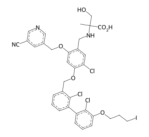 CC(CO)(NCc1cc(Cl)c(OCc2cccc(-c3cccc(OCCCI)c3Cl)c2Cl)cc1OCc1cncc(C#N)c1)C(=O)O